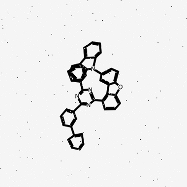 c1ccc(-c2cccc(-c3nc(-c4ccccc4)nc(-c4cccc5oc6ccc(-n7c8ccccc8c8ccccc87)cc6c45)n3)c2)cc1